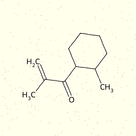 C=C(C)C(=O)C1CCCCC1C